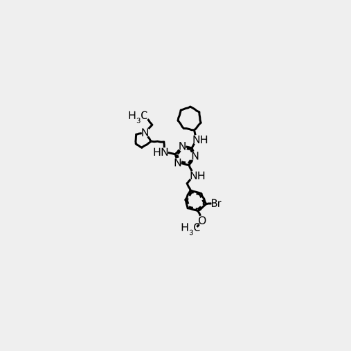 CCN1CCCC1CNc1nc(NCc2ccc(OC)c(Br)c2)nc(NC2CCCCCC2)n1